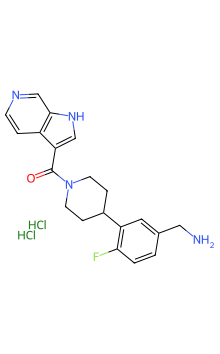 Cl.Cl.NCc1ccc(F)c(C2CCN(C(=O)c3c[nH]c4cnccc34)CC2)c1